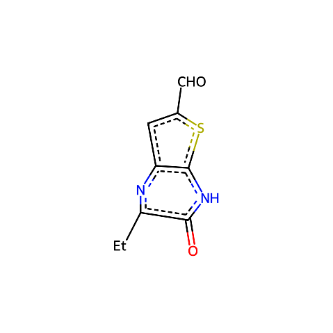 CCc1nc2cc(C=O)sc2[nH]c1=O